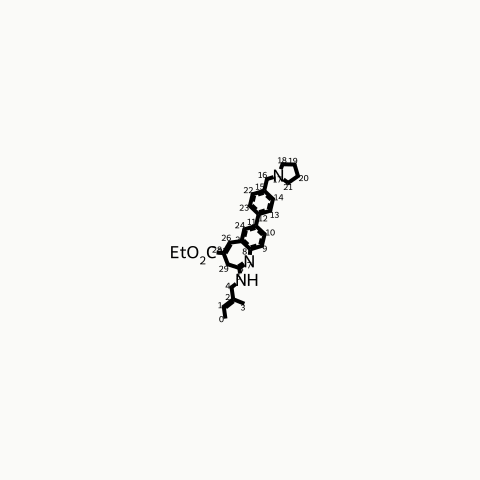 C/C=C(\C)CNC1=Nc2ccc(-c3ccc(CN4CCCC4)cc3)cc2C=C(C(=O)OCC)C1